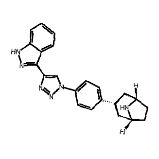 c1ccc2c(-c3cn(-c4ccc([C@H]5C[C@H]6CC[C@@H](C5)N6)cc4)nn3)n[nH]c2c1